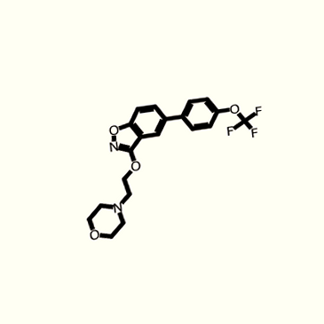 FC(F)(F)Oc1ccc(-c2ccc3onc(OCCN4CCOCC4)c3c2)cc1